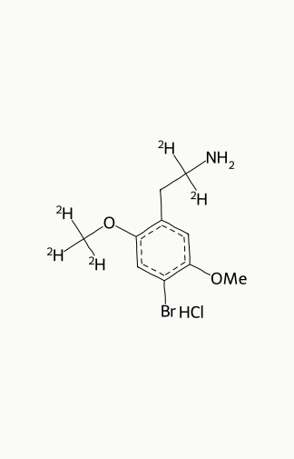 Cl.[2H]C([2H])(N)Cc1cc(OC)c(Br)cc1OC([2H])([2H])[2H]